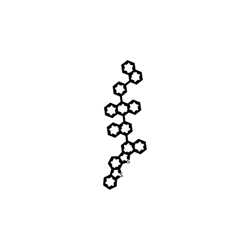 c1cc(-c2cccc3ccccc23)cc(-c2c3ccccc3c(-c3ccc(-c4cc5c6ccc7c8ccccc8sc7c6sc5c5ccccc45)c4ccccc34)c3ccccc23)c1